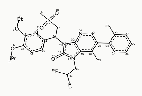 CCOc1nc(C(CS(C)(=O)=O)n2c(=O)n(CC(F)F)c3c(C)c(-c4ccccc4C)cnc32)ccc1OC(C)C